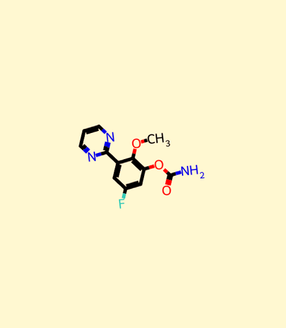 COc1c(OC(N)=O)cc(F)cc1-c1ncccn1